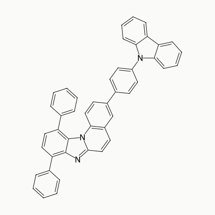 c1ccc(-c2ccc(-c3ccccc3)c3c2nc2ccc4cc(-c5ccc(-n6c7ccccc7c7ccccc76)cc5)ccc4n23)cc1